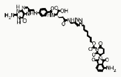 Nc1cccc2c1C(=O)N(C1CCC(=O)N(C(=O)OCCCCCCn3cc(CNC(=O)CC[C@H](NC(=O)c4ccc(NCc5cnc6c(n5)C(=O)NC(N)N6)cc4)C(=O)O)nn3)C1=O)C2=O